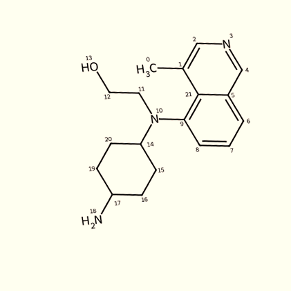 Cc1cncc2cccc(N(CCO)C3CCC(N)CC3)c12